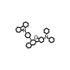 c1ccc(N(c2ccccc2)c2ccc3c(c2)oc2c(-c4ccc(-n5c6ccccc6c6ccccc65)cc4)c4ccccc4cc23)cc1